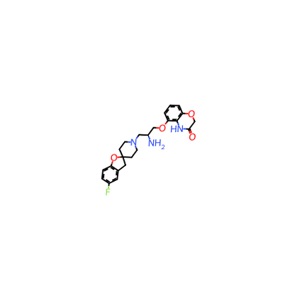 N[C@H](COc1cccc2c1NC(=O)CO2)CN1CCC2(CC1)Cc1cc(F)ccc1O2